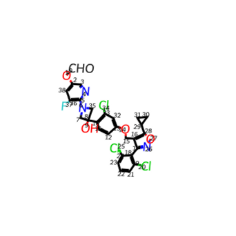 O=COc1cnc(N2CC(O)(c3ccc(OCc4c(-c5c(Cl)cccc5Cl)noc4C4CC4)cc3Cl)C2)c(F)c1